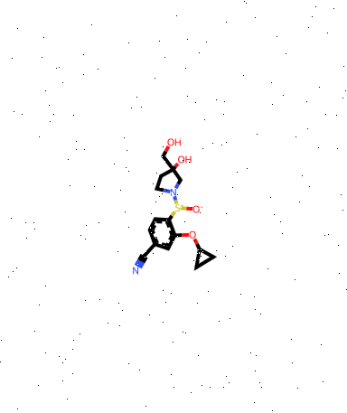 N#Cc1ccc([S+]([O-])N2CCC(O)(CO)C2)c(OC2CC2)c1